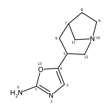 Nc1ncc(C2CC3CCN(C3)C2)o1